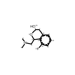 CN(C)CC1OCCc2cccc(F)c21.Cl